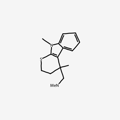 CNCC1(C)CCSc2c1c1ccccc1n2C